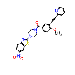 COc1ccc(C(=O)N2CCN(c3nc4ccc([N+](=O)[O-])cc4s3)CC2)cc1C#Cc1ccccn1